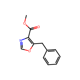 COC(=O)c1ncoc1Cc1ccccc1